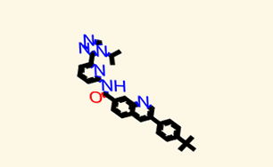 CC(C)n1cnnc1-c1cccc(NC(=O)c2ccc3cc(-c4ccc(C(C)(C)C)cc4)cnc3c2)n1